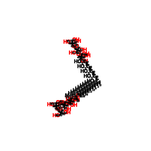 C=CC(=O)O.C=CC(=O)O.C=CC(=O)O.C=CC(=O)O.C=CC(=O)O.C=CC(=O)O.C=CC(=O)O.C=CC(=O)O.C=CC(=O)O.C=CC(=O)O.C=CC(=O)O.C=CC(=O)O.C=CC(=O)O.C=CC(=O)OC.OCC(CO)(CO)CO.OCC(CO)(CO)CO.OCC(CO)(CO)CO.OCC(CO)(CO)COCC(CO)(CO)CO.OCC(CO)(CO)COCC(CO)(CO)CO